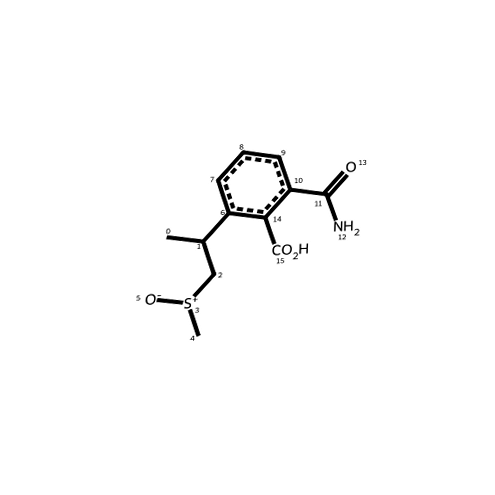 CC(C[S+](C)[O-])c1cccc(C(N)=O)c1C(=O)O